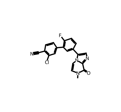 Cn1ccn2c(-c3ccc(F)c(-c4ccc(C#N)c(Cl)c4)c3)cnc2c1=O